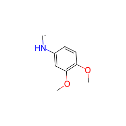 [CH2]Nc1ccc(OC)c(OC)c1